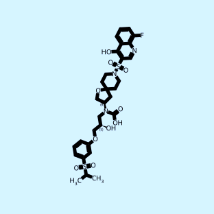 CC(C)S(=O)(=O)c1cccc(OC[C@@H](O)CN(C(=O)O)[C@H]2COC3(CCN(S(=O)(=O)c4cnc5c(F)cccc5c4O)CC3)C2)c1